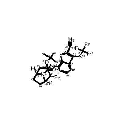 CC(C)(C)OC(=O)N1[C@@H]2CC[C@H]1[C@H](F)[C@H](Nc1cccc3c(SC(F)(F)F)c(C#N)sc13)C2